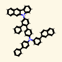 c1ccc(-c2ccc(N(c3ccc(-c4ccc(-n5c6ccccc6c6cc7ccccc7cc65)cc4-c4ccccc4)cc3)c3cccc(-c4ccc5ccccc5c4)c3)cc2)cc1